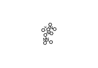 CC1(C)c2ccccc2-c2c1c1c3ccccc3n(-c3ccccc3)c1c1c3ccccc3n(-c3cccc(-c4nc(-c5ccccc5)c5ccccc5n4)c3)c21